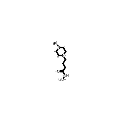 CC(C)N1CCN(CCCC(=O)NC(C)(C)C)CC1